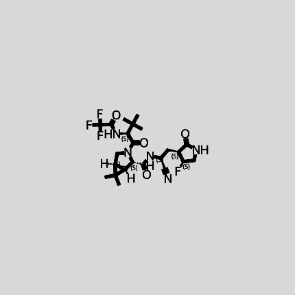 CC(C)(C)[C@H](NC(=O)C(F)(F)F)C(=O)N1C[C@H]2[C@@H]([C@H]1C(=O)N[C@H](C#N)C[C@H]1C(=O)NC[C@H]1F)C2(C)C